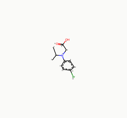 CC(C)N(CC(=O)O)c1ccc(Br)cc1